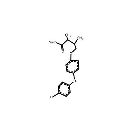 COC(=O)C(C)C(C)COc1ccc(Oc2ccc(Cl)cc2)cc1